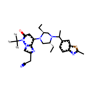 [2H]C([2H])([2H])n1c(=O)cc(N2C[C@@H](CC)N(C(C)c3ccc4nc(C)sc4c3)C[C@@H]2CC)c2nc(CC#N)cn21